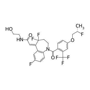 C[C@H](F)COc1ccc(C(=O)N2CCC(F)(F)/C(=C\C(=O)NCCO)c3cc(F)ccc32)c(C(F)(F)F)c1